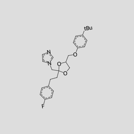 CC(C)(C)c1ccc(OCC2COC(CCc3ccc(F)cc3)(Cn3ccnc3)O2)cc1